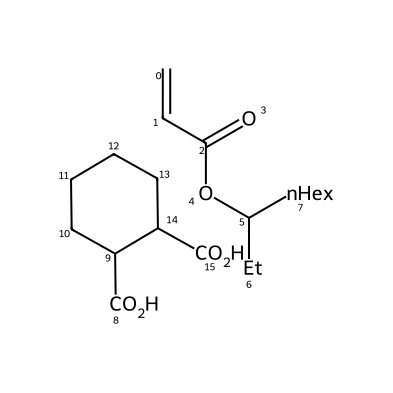 C=CC(=O)OC(CC)CCCCCC.O=C(O)C1CCCCC1C(=O)O